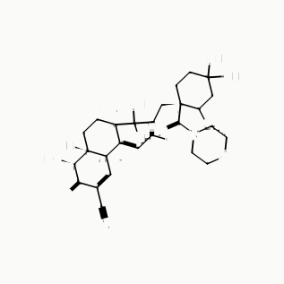 CC(=O)/C=C1/[C@@]2(C)C=C(C#N)C(=O)[C@@H](C)[C@@H]2CC[C@@]1(C)C(C)(C)CC[C@@]1(C(=O)N2CCOCC2)CCC(C)(C)CC1C